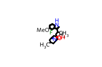 COc1ccc2[nH]cc(C(C)CC(=O)N3C4CC(C)CC3CC(C)(O)C4)c2c1F